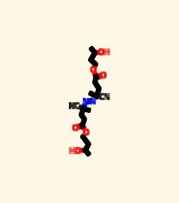 CC(O)CCOC(=O)CCC(C)(C#N)/N=N/C(C)(C#N)CCC(=O)OCCC(C)O